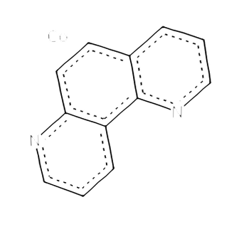 [Co].c1cnc2c(c1)ccc1ncccc12